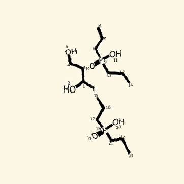 CC(O)CCO.CCCP(=O)(O)CCC.CCCP(=O)(O)CCC